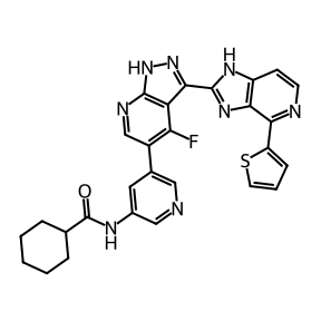 O=C(Nc1cncc(-c2cnc3[nH]nc(-c4nc5c(-c6cccs6)nccc5[nH]4)c3c2F)c1)C1CCCCC1